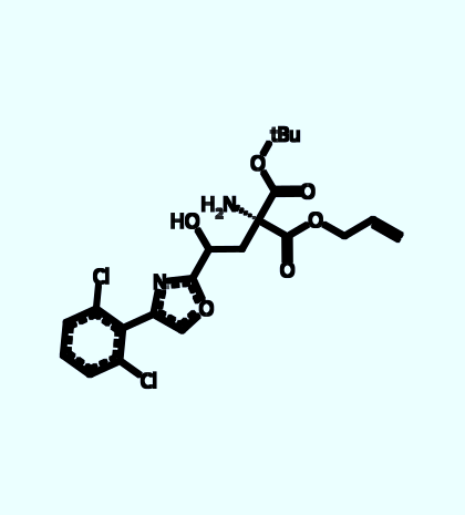 C=CCOC(=O)[C@@](N)(CC(O)c1nc(-c2c(Cl)cccc2Cl)co1)C(=O)OC(C)(C)C